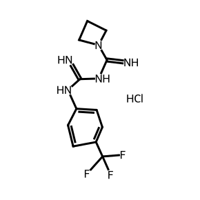 Cl.N=C(NC(=N)N1CCC1)Nc1ccc(C(F)(F)F)cc1